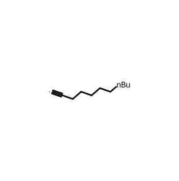 [C]#CCCCCCCCC[CH2]